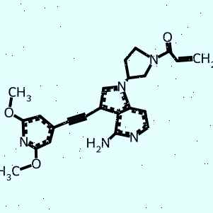 C=CC(=O)N1CC[C@H](n2cc(C#Cc3cc(OC)nc(OC)c3)c3c(N)nccc32)C1